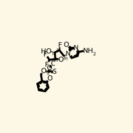 Nc1ccn([C@@H]2O[C@@](COP3(=S)OCc4ccccc4O3)(C(F)F)[C@H](O)[C@H]2F)c(=O)n1